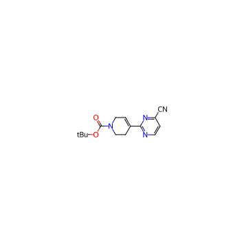 CC(C)(C)OC(=O)N1CC=C(c2nccc(C#N)n2)CC1